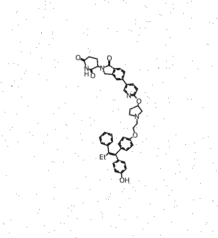 CCC(=C(c1ccc(O)cc1)c1ccc(OCCN2CCC(Oc3ccc(-c4ccc5c(c4)CN(C4CCC(=O)NC4=O)C5=O)cn3)C2)cc1)c1ccccc1